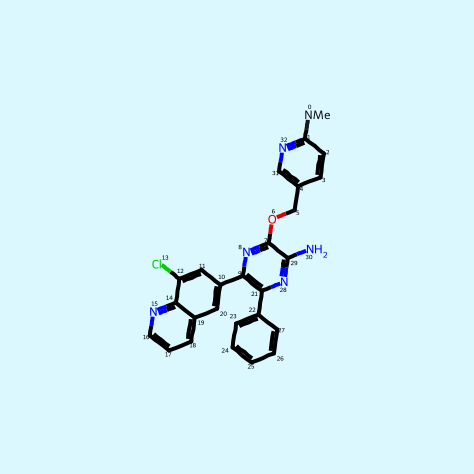 CNc1ccc(COc2nc(-c3cc(Cl)c4ncccc4c3)c(-c3ccccc3)nc2N)cn1